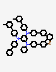 Cc1cccc(-c2ccc(N(c3ccc(-c4ccccc4)cc3)c3cc(N(c4ccccc4)c4ccc(-c5ccc6sc7ccccc7c6c5)cc4)cc(N(c4ccc(-c5ccccc5)cc4)c4ccc(-c5cccc(C)c5)cc4)c3)cc2)c1